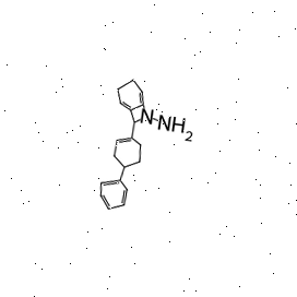 NN1C2=CCCC=C2C1C1=CCC(c2ccccc2)CC1